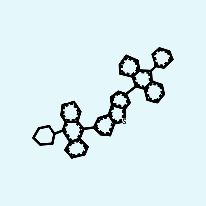 c1ccc(-c2c3ccccc3c(-c3ccc4c(c3)sc3ccc(-c5c6ccccc6c(C6CCCCC6)c6ccccc56)cc34)c3ccccc23)cc1